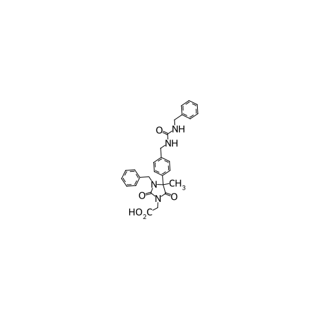 CC1(c2ccc(CNC(=O)NCc3ccccc3)cc2)C(=O)N(CC(=O)O)C(=O)N1Cc1ccccc1